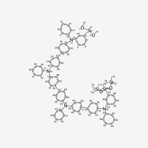 CO[Si](C)(OC)c1cccc(N(c2ccccc2)c2ccc(-c3ccc(N(c4ccccc4)c4ccc(-c5ccc(N(c6ccccc6)c6ccc(-c7ccc(N(c8ccccc8)c8cccc([Si](C)(O[Si](C)(C)C)O[Si](C)(C)C)c8)cc7)cc6)cc5)cc4)cc3)cc2)c1